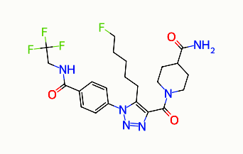 NC(=O)C1CCN(C(=O)c2nnn(-c3ccc(C(=O)NCC(F)(F)F)cc3)c2CCCCCF)CC1